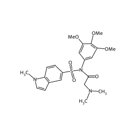 COc1cc(N(C(=O)CN(C)C)S(=O)(=O)c2ccc3c(ccn3C)c2)cc(OC)c1OC